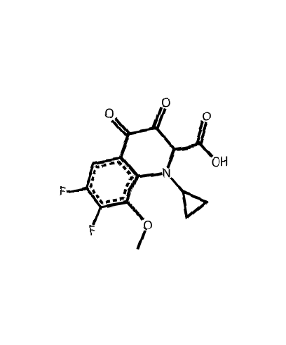 COc1c(F)c(F)cc2c1N(C1CC1)C(C(=O)O)C(=O)C2=O